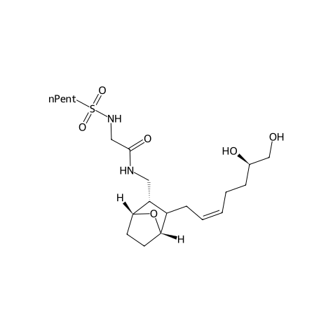 CCCCCS(=O)(=O)NCC(=O)NC[C@@H]1C(C/C=C\CC[C@@H](O)CO)[C@@H]2CC[C@H]1O2